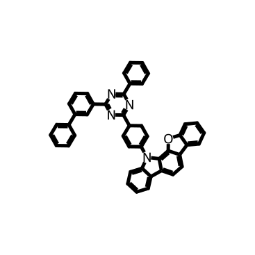 C1=CC(c2nc(-c3ccccc3)nc(-c3cccc(-c4ccccc4)c3)n2)CC=C1n1c2ccccc2c2ccc3c4ccccc4oc3c21